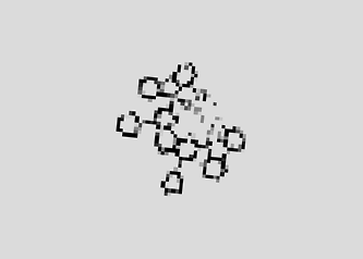 Cc1cccc2c1C(C)(c1cc(-c3ccccc3)c3ccc4c(-c5ccccc5)cc(C5(C)c6ccccc6-c6cccc(C)c65)nc4c3n1)c1ccccc1-2